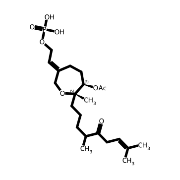 CC(=O)O[C@@H]1CCC(=CCOP(=O)(O)O)CO[C@@]1(C)CCCC(C)C(=O)CC=C(C)C